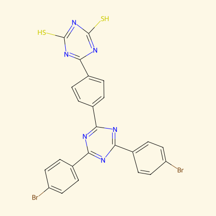 Sc1nc(S)nc(-c2ccc(-c3nc(-c4ccc(Br)cc4)nc(-c4ccc(Br)cc4)n3)cc2)n1